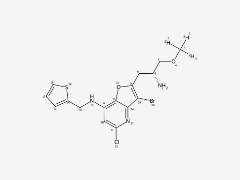 [2H]C([2H])([2H])OC[C@H](N)Cc1oc2c(NCc3cccs3)cc(Cl)nc2c1Br